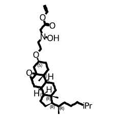 C=COC(=O)CN(O)CCO[C@H]1CC[C@]2(C)[C@H]3CC[C@]4(C)[C@@H]([C@H](C)CCCC(C)C)CC[C@H]4[C@@H]3CC3OC32C1